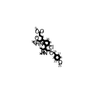 COC(=O)CCc1c(C(=O)OC)[nH]c2c(-c3c(COCc4ccc(OC)cc4)nn(C)c3C)c(Cl)ccc12